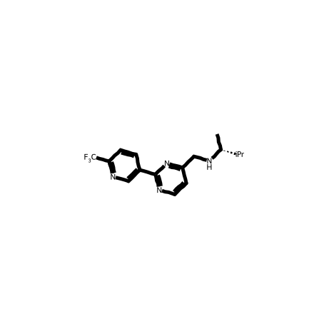 CC(C)[C@@H](C)NCc1ccnc(-c2ccc(C(F)(F)F)nc2)n1